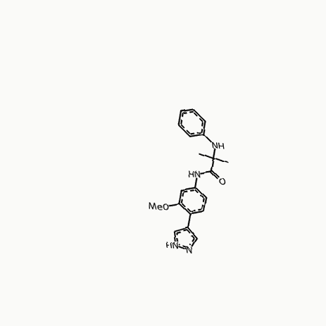 COc1cc(NC(=O)C(C)(C)Nc2ccccc2)ccc1-c1cn[nH]c1